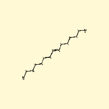 BrCCCCCC=CCCCCCCBr